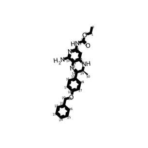 CCOC(=O)Nc1cc2c(c(N)n1)N=C(c1ccc(OCc3ccccc3)cc1)[C@H](C)N2